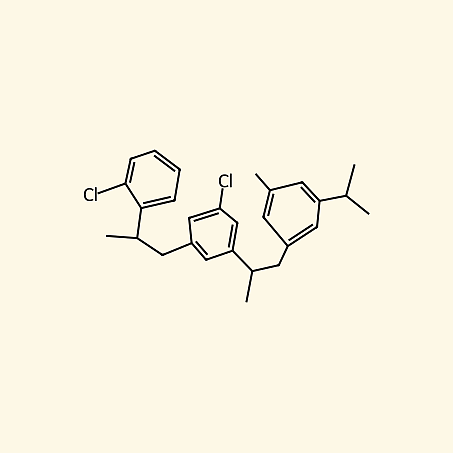 Cc1cc(CC(C)c2cc(Cl)cc(CC(C)c3ccccc3Cl)c2)cc(C(C)C)c1